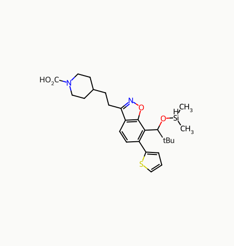 C[SiH](C)OC(c1c(-c2cccs2)ccc2c(CCC3CCN(C(=O)O)CC3)noc12)C(C)(C)C